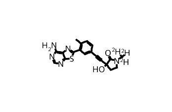 [2H]C([2H])([2H])N1CCC(O)(C#Cc2ccc(C)c(-c3nc4c(N)ncnc4s3)c2)C1=O